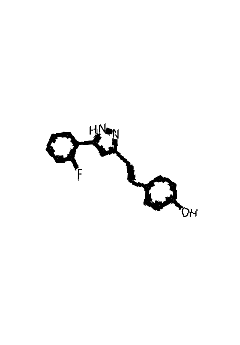 Oc1ccc(C=Cc2cc(-c3ccccc3F)[nH]n2)cc1